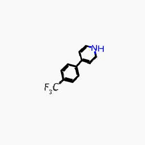 FC(F)(F)c1ccc(C2=CCNC=C2)cc1